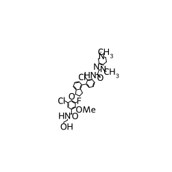 COc1c(C(=O)NCCO)cc(Cl)c(OC2CCc3c(-c4cccc(NC(=O)c5nc6c(n5C)CCN(C)C6)c4Cl)cccc32)c1F